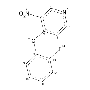 O=[N+]([O-])c1cnccc1Oc1ccccc1F